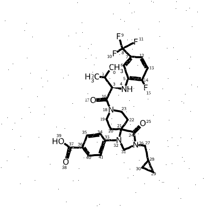 CC(C)[C@@H](Nc1cc(C(F)(F)F)ccc1F)C(=O)N1CCC2(CC1)C(=O)N(CC1CC1)CN2c1ccc(C(=O)O)cc1